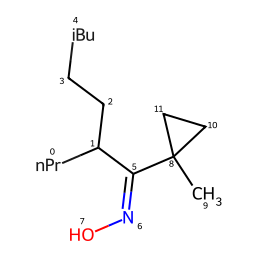 CCCC(CCC(C)CC)/C(=N\O)C1(C)CC1